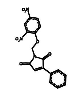 O=C1C=C(c2ccccc2)C(=O)N1COc1ccc([N+](=O)[O-])cc1[N+](=O)[O-]